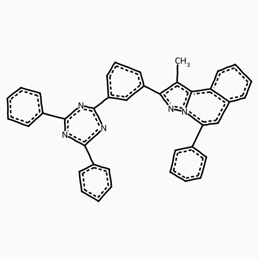 Cc1c(-c2cccc(-c3nc(-c4ccccc4)nc(-c4ccccc4)n3)c2)nn2c(-c3ccccc3)cc3ccccc3c12